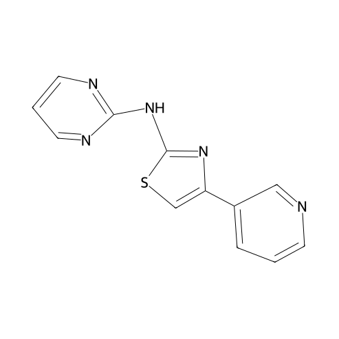 c1cnc(Nc2nc(-c3cccnc3)cs2)nc1